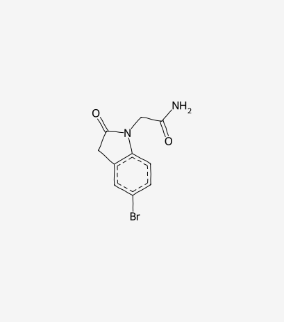 NC(=O)CN1C(=O)Cc2cc(Br)ccc21